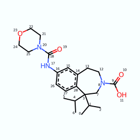 CC(C)C1(C(C)C)CN(C(=O)O)CCc2cc(NC(=O)N3CCOCC3)ccc21